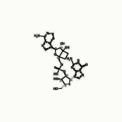 Nc1nc2c(ncn2[C@@H]2S[C@H](CO)[C@@H](O)[C@H]2OP(O)(=S)OC[C@]23CCC2(O)[C@@H](O)[C@H](n2cnc4c(N)ncnc42)O3)c(=O)[nH]1